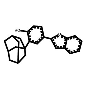 Oc1ccc(-c2cc3ccccc3o2)cc1C12CC3CC(CC(C3)C1)C2